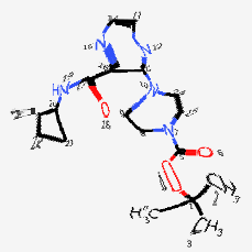 CC(C)(C)OC(=O)N1CCN(c2nccnc2C(=O)NC2CCC2)CC1